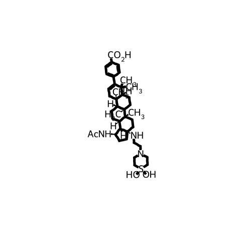 CC(=O)N[C@@H]1CC[C@]2(NCCN3CCS(O)(O)CC3)CC[C@]3(C)[C@H](CC[C@@H]4[C@@]5(C)CC=C(c6ccc(C(=O)O)cc6)C(C)(C)[C@@H]5CC[C@]43C)[C@@H]12